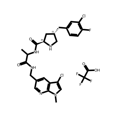 CC(NC(=O)[C@H]1C[C@H](Cc2ccc(F)c(Cl)c2)CN1)C(=O)NCc1cnc2c(c1)c(Cl)cn2C.O=C(O)C(F)(F)F